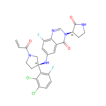 C=CC(=O)N1CC[C@@](Nc2cc(F)c3ncn([C@@H]4CCNC4=O)c(=O)c3c2)(c2c(F)ccc(Cl)c2Cl)C1